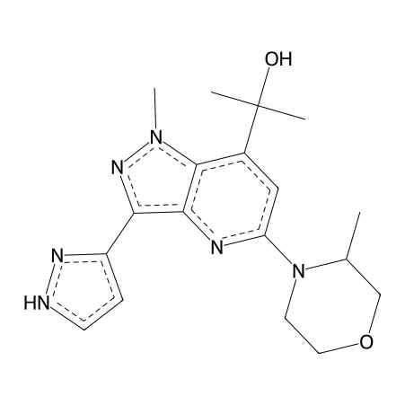 CC1COCCN1c1cc(C(C)(C)O)c2c(n1)c(-c1cc[nH]n1)nn2C